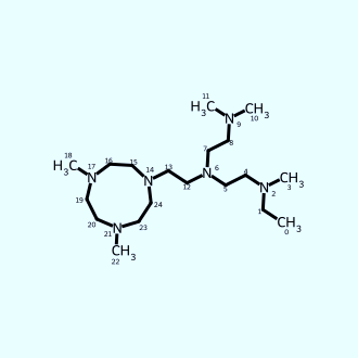 CCN(C)CCN(CCN(C)C)CCN1CCN(C)CCN(C)CC1